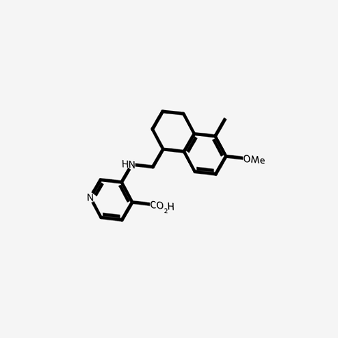 COc1ccc2c(c1C)CCCC2CNc1cnccc1C(=O)O